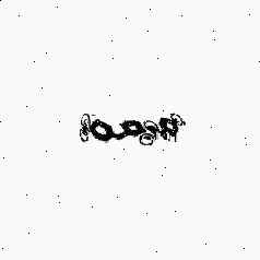 COc1ccc(NS(=O)(=O)c2cccc(Cc3ccc([N+](=O)[O-])cc3)c2)cc1